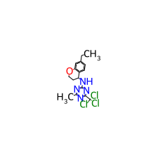 CCc1ccc2c(c1)OCCC2Nc1nc(C)nc(C(Cl)(Cl)Cl)n1